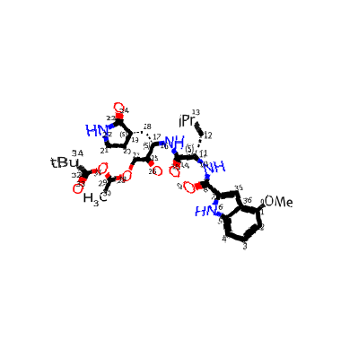 COc1cccc2[nH]c(C(=O)N[C@@H](CC(C)C)C(=O)N[C@@H](C[C@@H]3CCNC3=O)C(=O)COC(C)OC(=O)C(C)(C)C)cc12